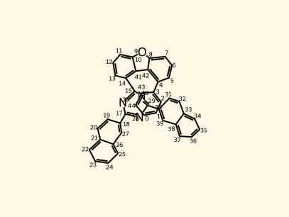 c1ccc(-c2cccc3oc4cccc(-c5nc(-c6ccc7ccccc7c6)nc(-c6ccc7ccccc7c6)n5)c4c23)cc1